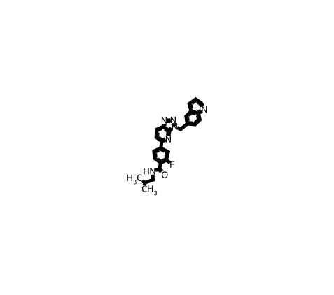 CC(C)CNC(=O)c1ccc(-c2ccc3nnn(Cc4ccc5ncccc5c4)c3n2)cc1F